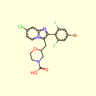 O=C(O)N1CCOC(Cc2c(-c3c(F)cc(Br)cc3F)nc3cc(Cl)ccn23)C1